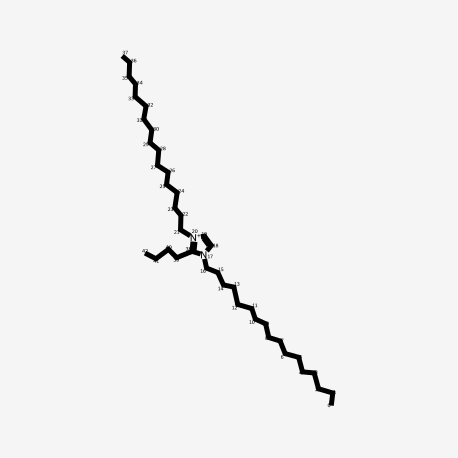 CCCCCCCCCCCCCCCCCn1cc[n+](CCCCCCCCCCCCCCCCC)c1CCCC